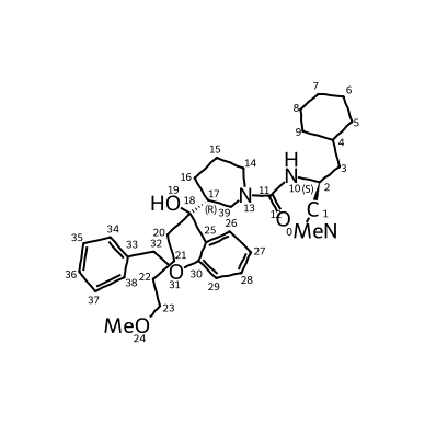 CNC[C@H](CC1CCCCC1)NC(=O)N1CCC[C@@H](C(O)(CCCCOC)c2ccccc2OCc2ccccc2)C1